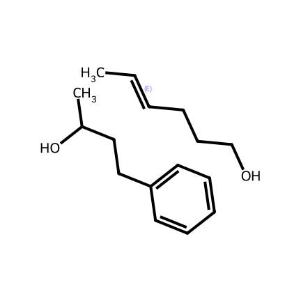 C/C=C/CCCO.CC(O)CCc1ccccc1